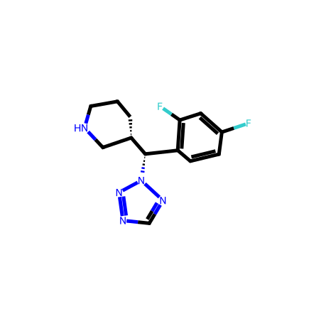 Fc1ccc([C@@H]([C@H]2CCCNC2)n2ncnn2)c(F)c1